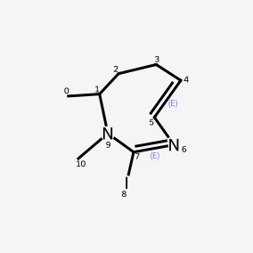 CC1CC/C=C/N=C(/I)N1C